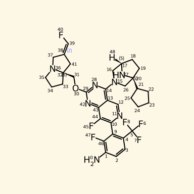 Nc1ccc(C(F)(F)F)c(-c2ncc3c(N4C[C@@H]5CC[C@](C6CCCC6)(C4)N5)nc(OC[C@@]45CCCN4C/C(=C\F)C5)nc3c2F)c1F